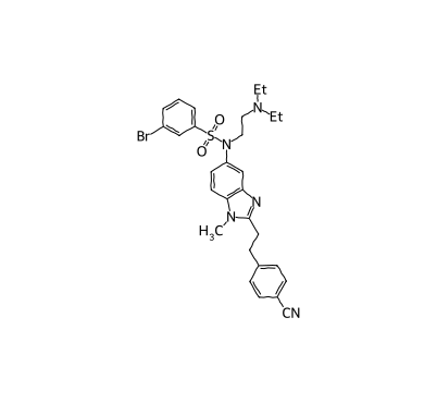 CCN(CC)CCN(c1ccc2c(c1)nc(CCc1ccc(C#N)cc1)n2C)S(=O)(=O)c1cccc(Br)c1